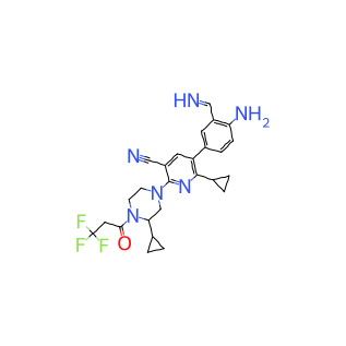 N#Cc1cc(-c2ccc(N)c(C=N)c2)c(C2CC2)nc1N1CCN(C(=O)CC(F)(F)F)C(C2CC2)C1